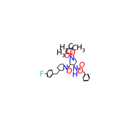 CC(C)(C)OC(=O)N1CCC(NC(=O)OCc2ccccc2)C(C(=O)N2CCCC(Cc3ccc(F)cc3)C2)C1